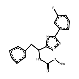 CCCCOC(=O)NC(Cc1ccccc1)c1nc(-c2cccc(F)c2)no1